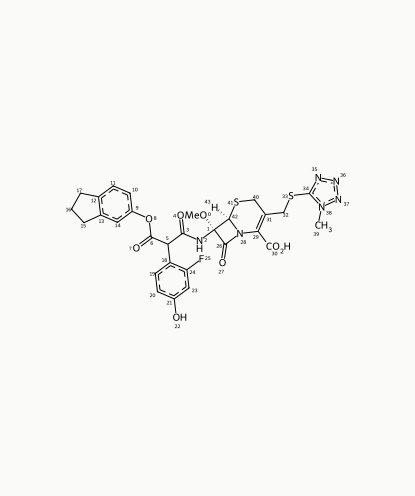 CO[C@@]1(NC(=O)C(C(=O)Oc2ccc3c(c2)CCC3)c2ccc(O)cc2F)C(=O)N2C(C(=O)O)=C(CSc3nnnn3C)CS[C@@H]21